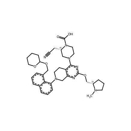 CN1CCC[C@H]1COc1nc2c(c(N3CCN(C(=O)O)[C@@H](CC#N)C3)n1)CCN(c1cccc3cccc(COC4CCCCO4)c13)C2